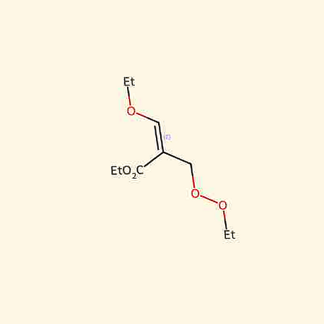 CCO/C=C(/COOCC)C(=O)OCC